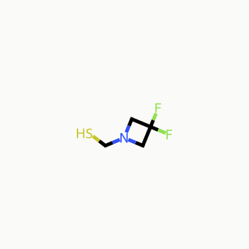 FC1(F)CN(CS)C1